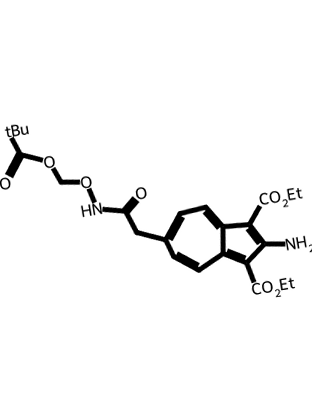 CCOC(=O)c1c2ccc(CC(=O)NOCOC(=O)C(C)(C)C)ccc-2c(C(=O)OCC)c1N